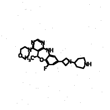 C[C@@H]1Oc2c(F)cc(C3CN(C4CCNCC4)C3)cc2Nc2ncnc(N3CCOCC3)c21